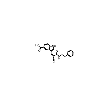 N#CC(=Cc1c[nH]c2ccc(C(=O)O)cc12)C(=O)NCCc1ccccc1